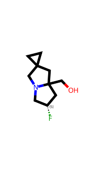 OCC12C[C@H](F)CN1CC1(CC1)C2